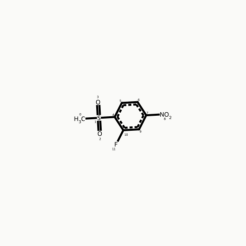 CS(=O)(=O)c1ccc([N+](=O)[O-])cc1F